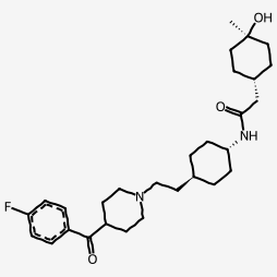 C[C@]1(O)CC[C@H](CC(=O)N[C@H]2CC[C@H](CCN3CCC(C(=O)c4ccc(F)cc4)CC3)CC2)CC1